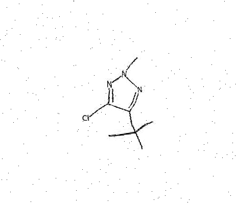 Cn1nc(Cl)c(C(C)(C)C)n1